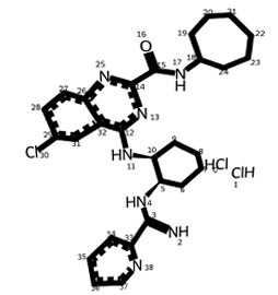 Cl.Cl.N=C(N[C@@H]1CCCC[C@@H]1Nc1nc(C(=O)NC2CCCCCC2)nc2ccc(Cl)cc12)c1ccccn1